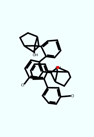 OC1(c2ccccc2-c2ccc(Cl)cc2C2CC3CCC2C3(O)c2ccccc2-c2cccc(Cl)c2)C2CCC1CC2